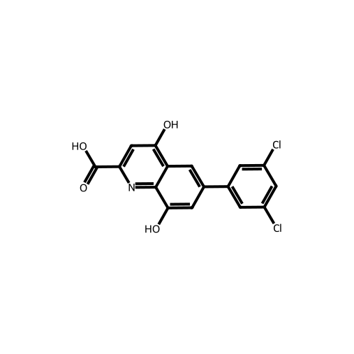 O=C(O)c1cc(O)c2cc(-c3cc(Cl)cc(Cl)c3)cc(O)c2n1